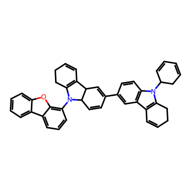 C1=CCC(n2c3c(c4cc(C5=CC6C7=C(CCC=C7)N(c7cccc8c7oc7ccccc78)C6C=C5)ccc42)C=CCC3)C=C1